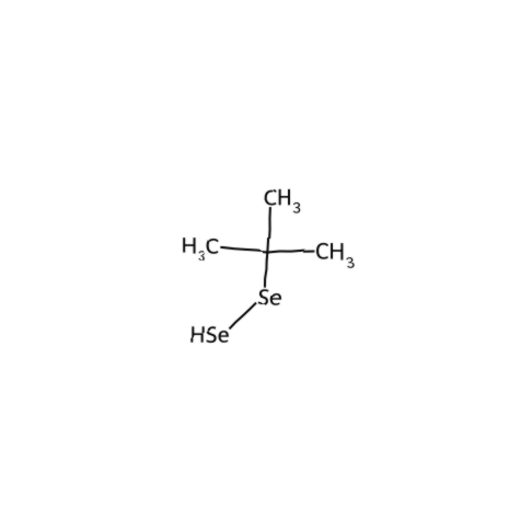 CC(C)(C)[Se][SeH]